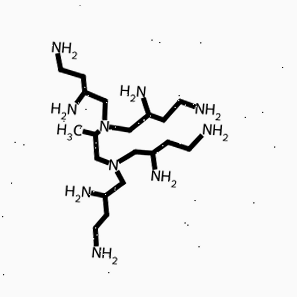 CC(CN(CC(N)CCN)CC(N)CCN)N(CC(N)CCN)CC(N)CCN